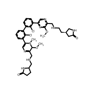 COc1nc(-c2cccc(-c3cccc(C4=CN=C(CNCC5CCC(=O)N5)C(OC)N4C)c3Cl)c2Cl)cnc1CNCC[C@H]1CNC(=O)C1